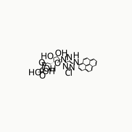 O=P(O)(O)CP(=O)(O)CC[C@H]1O[C@@H](n2cnc3c(Nc4ccc5ccc6cccc7ccc4c5c67)nc(Cl)nc32)C(O)C1O